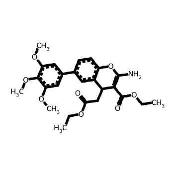 CCOC(=O)CC1C(C(=O)OCC)=C(N)Oc2ccc(-c3cc(OC)c(OC)c(OC)c3)cc21